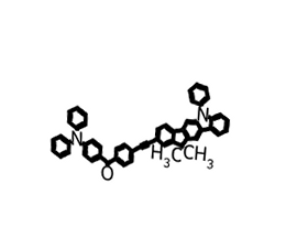 CC1(C)c2cc(C#Cc3ccc(C(=O)c4ccc(N(c5ccccc5)c5ccccc5)cc4)cc3)ccc2-c2cc3c(cc21)c1ccccc1n3-c1ccccc1